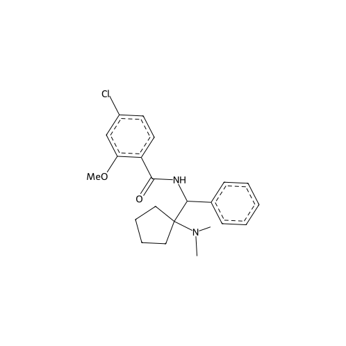 COc1cc(Cl)ccc1C(=O)NC(c1ccccc1)C1(N(C)C)CCCC1